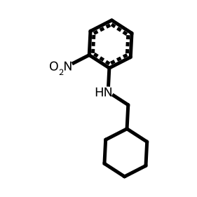 O=[N+]([O-])c1ccccc1NCC1CCCCC1